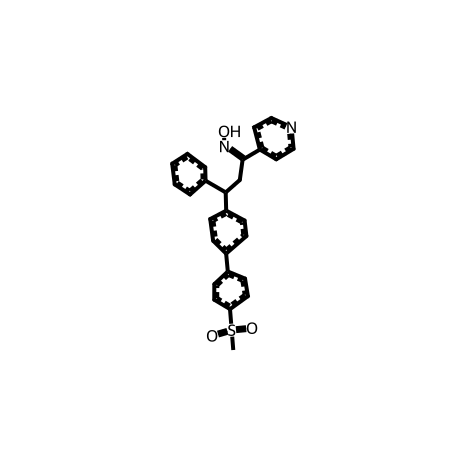 CS(=O)(=O)c1ccc(-c2ccc(C(C/C(=N/O)c3ccncc3)c3ccccc3)cc2)cc1